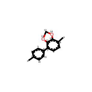 Cc1ccc(-c2ccc(C)c3c2OCO3)cc1